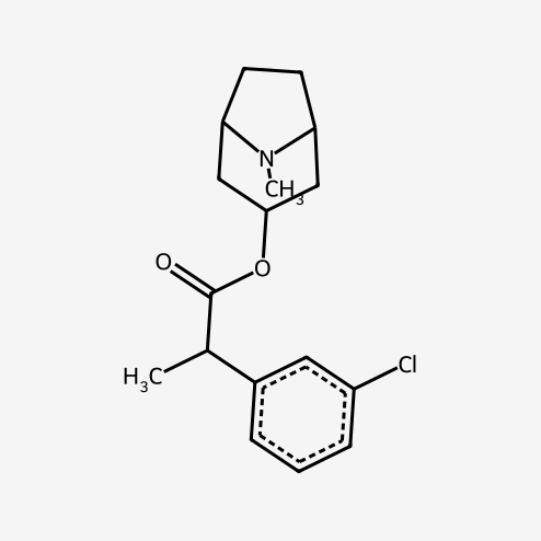 CC(C(=O)OC1CC2CCC(C1)N2C)c1cccc(Cl)c1